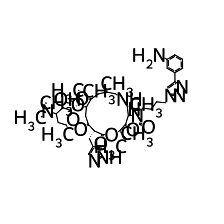 CC[C@H]1OC(=O)[C@H](Cc2cn[nH]c2)C(=O)C[C@@H](O[C@@H]2O[C@H](C)CC(N(C)C)C2O)[C@](C)(OC)C[C@@H](C)CN[C@H](C)[C@H]2N(CCCCn3cc(-c4cccc(N)c4)nn3)C(=O)O[C@]12C